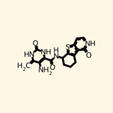 C=C1NC(=O)NC(C(=O)NC2CCCc3c2sc2cc[nH]c(=O)c32)=C1N